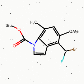 COc1cc(C)c2c(ccn2C(=O)OC(C)(C)C)c1C(F)Br